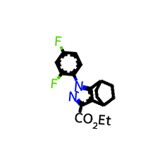 CCOC(=O)c1nn(-c2ccc(F)cc2F)c2c1C1CCC2CC1